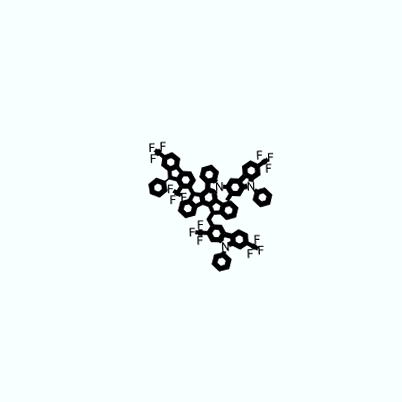 Cc1cc2c(cc1-n1c3ccccc3c3c4c(c5c(c31)-c1ccccc1C5Cc1cc3c5ccc(C(F)(F)F)cc5n(-c5ccccc5)c3cc1C(F)(F)F)-c1ccccc1C4c1ccc3c(c1C(F)(F)F)[C@@H](c1ccccc1)c1cc(C(F)(F)F)ccc1-3)c1ccc(C(F)(F)F)cc1n2-c1ccccc1